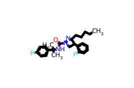 CCCCCC1=NN(C(=O)NC(C)(C)c2ccc(F)cc2)CC1c1ccccc1F